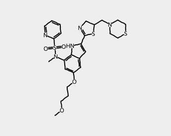 COCCCOc1cc(N(C)S(=O)(=O)c2ccccn2)c2[nH]c(C3=NCC(CN4CCSCC4)S3)cc2c1